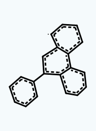 [c]1cccc2c1cc(-c1ccccc1)c1ccccc12